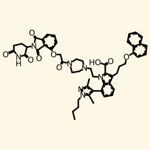 CCCCn1nc(C)c(-c2cccc3c(CCCOc4cccc5ccccc45)c(C(=O)O)n(CCN4CCN(C(=O)COc5cccc6c5C(=O)N(C5CCC(=O)NC5=O)C6=O)CC4)c23)c1C